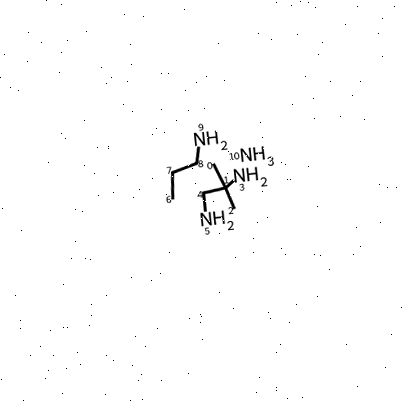 CC(C)(N)CN.CCCN.N